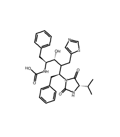 CC(C)[C@@H]1NC(=O)N([C@@H](Cc2ccccc2)C(Cc2cncs2)[C@@H](O)[C@H](Cc2ccccc2)NC(=O)O)C1=O